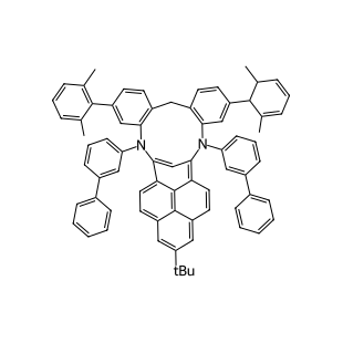 CC1=CC=CC(C)C1c1ccc2c(c1)N(c1cccc(-c3ccccc3)c1)c1cc(c3ccc4cc(C(C)(C)C)cc5ccc1c3c45)N(c1cccc(-c3ccccc3)c1)c1cc(-c3c(C)cccc3C)ccc1C2